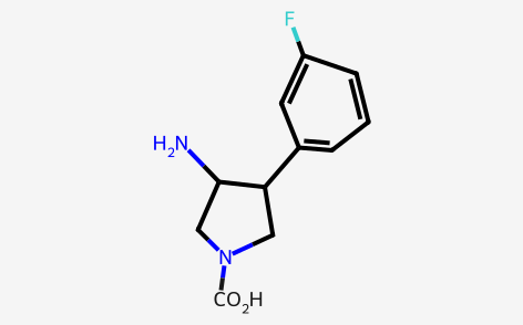 NC1CN(C(=O)O)CC1c1cccc(F)c1